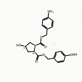 COc1ccc(COC(=O)[C@H]2C[C@@H](O)CN2C(=O)OCc2ccc([N+](=O)[O-])cc2)cc1